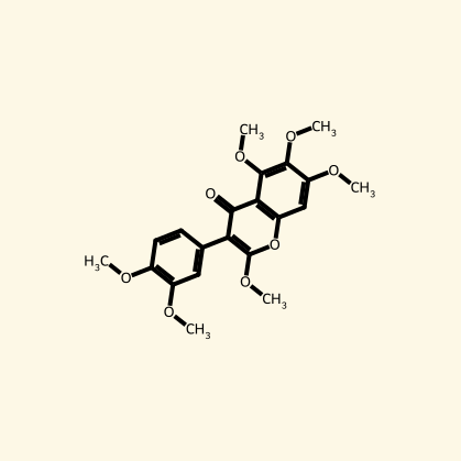 COc1ccc(-c2c(OC)oc3cc(OC)c(OC)c(OC)c3c2=O)cc1OC